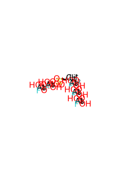 C=CCS(=O)(=O)O.O=[As](O)(O)F.O=[As](O)(O)F.O=[As](O)(O)F.O=[As](O)(O)F.O=[As]([O-])(O)F.[Li+]